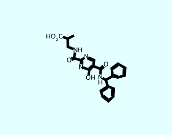 CC(CNC(=O)c1ncc(C(=O)NC(c2ccccc2)c2ccccc2)c(O)n1)C(=O)O